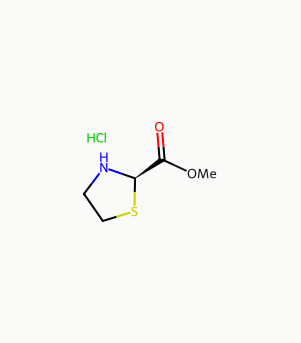 COC(=O)[C@@H]1NCCS1.Cl